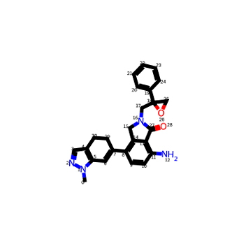 Cn1ncc2c1C=C(c1ccc(N)c3c1CN(CC1(c4ccccc4)CO1)C3=O)CC2